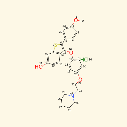 COc1ccc(-c2sc3cc(O)ccc3c2Oc2ccc(OCCN3CCCCC3)cc2)cc1.Cl